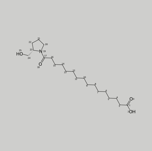 O=C(O)CCCCCCCCCCCCCCC(=O)N1CCC[C@H]1CO